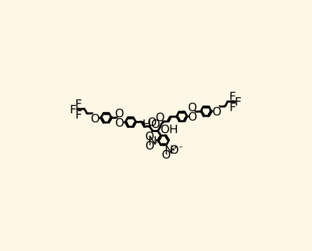 O=C(/C=C/c1ccc(OC(=O)c2ccc(OCCCC(F)(F)F)cc2)cc1)CC(c1ccc([N+](=O)[O-])cc1[N+](=O)[O-])C(O)(O)C(=O)/C=C/c1ccc(OC(=O)c2ccc(OCCCC(F)(F)F)cc2)cc1